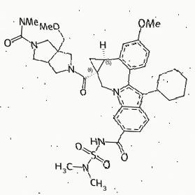 CNC(=O)N1CC2CN(C(=O)[C@]34C[C@H]3c3cc(OC)ccc3-c3c(C5CCCCC5)c5ccc(C(=O)NS(=O)(=O)N(C)C)cc5n3C4)CC2(COC)C1